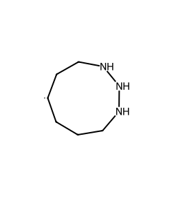 [CH]1CCCNNNCC1